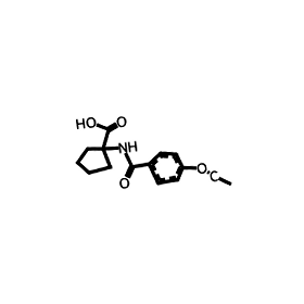 CCOc1ccc(C(=O)NC2(C(=O)O)CCCC2)cc1